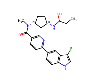 CCC(O)N[C@H]1CC[C@@H](N(C)C(=O)c2ccc(-c3ccc4[nH]cc(F)c4c3)nc2)C1